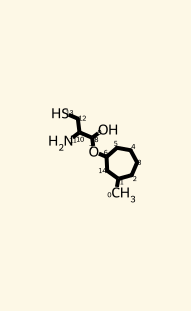 CC1CCCCC(OC(O)C(N)CS)C1